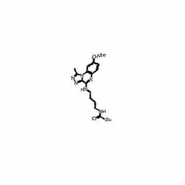 COc1ccc2nc(NCCCCNC(=O)C(C)(C)C)c3nnc(C)n3c2c1